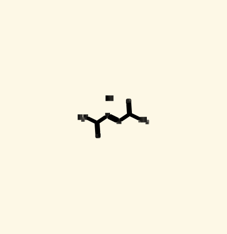 NC(=O)/N=N/C(N)=O.[KH]